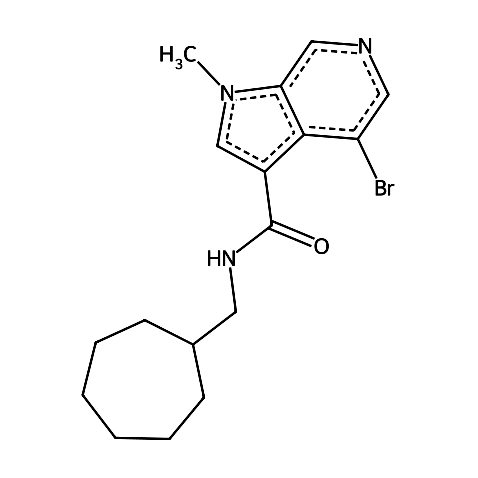 Cn1cc(C(=O)NCC2CCCCCC2)c2c(Br)cncc21